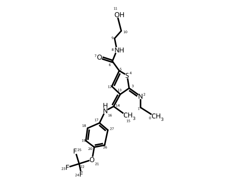 CC/N=C1/SC(C(=O)NCCO)=C/C1=C(/C)Nc1ccc(OC(F)(F)F)cc1